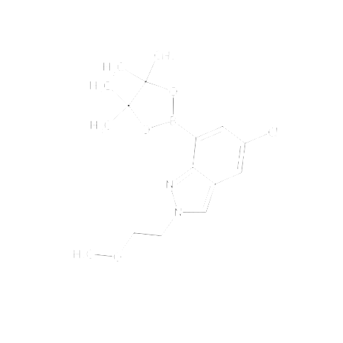 COCCn1cc2cc(Cl)cc(B3OC(C)(C)C(C)(C)O3)c2n1